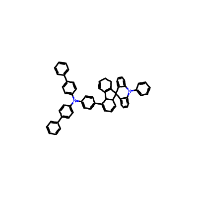 C1=CC2C(C(c3ccc(N(c4ccc(-c5ccccc5)cc4)c4ccc(-c5ccccc5)cc4)cc3)=C1)C1=C(CCC=C1)C21c2ccccc2N(c2ccccc2)c2ccccc21